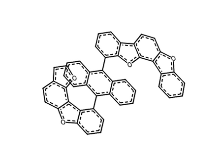 c1ccc2c(c1)oc1ccc3c4cccc(-c5c6ccccc6c(-c6cccc7oc8ccc9ccoc9c8c67)c6ccccc56)c4oc3c12